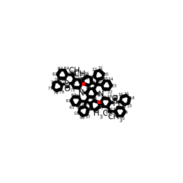 CC1(C)c2ccccc2P(=O)(c2ccccc2)c2cc(N3c4ccccc4C(c4ccccc4)(c4ccccc4)c4cc5c(cc43)C(c3ccccc3)(c3ccccc3)c3ccccc3N5c3ccc4c(c3)P(=O)(c3ccccc3)c3ccccc3C4(C)C)ccc21